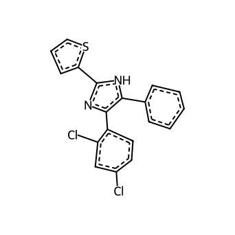 Clc1ccc(-c2nc(-c3cccs3)[nH]c2-c2ccccc2)c(Cl)c1